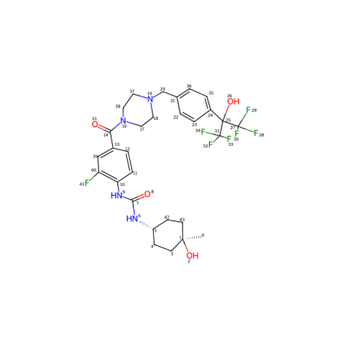 C[C@]1(O)CC[C@H](NC(=O)Nc2ccc(C(=O)N3CCN(Cc4ccc(C(O)(C(F)(F)F)C(F)(F)F)cc4)CC3)cc2F)CC1